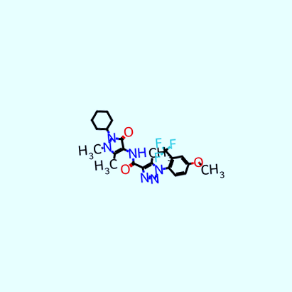 COc1ccc(-n2nnc(C(=O)Nc3c(C)n(C)n(C4CCCCC4)c3=O)c2C)c(C(F)(F)F)c1